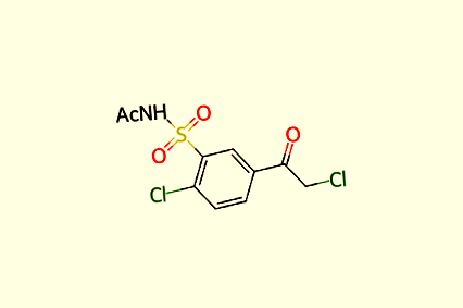 CC(=O)NS(=O)(=O)c1cc(C(=O)CCl)ccc1Cl